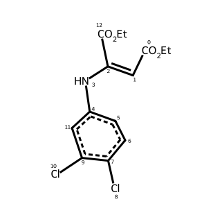 CCOC(=O)C=C(Nc1ccc(Cl)c(Cl)c1)C(=O)OCC